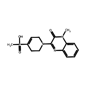 Cn1c(=O)c(N2CC=C(P(C)(=O)O)CC2)nc2ccccc21